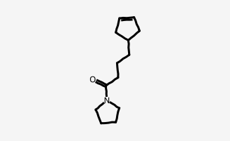 O=C(CCCC1CC=CC1)N1CCCC1